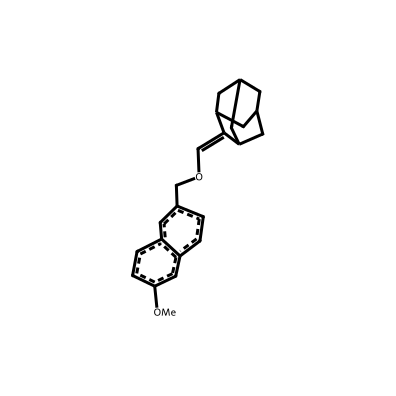 COc1ccc2cc(COC=C3C4CC5CC(C4)CC3C5)ccc2c1